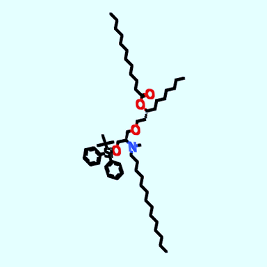 CCCCCCCCCCCCCCN(C)[C@H](COCC[C@@H](CCCCCCC)OC(=O)CCCCCCCCCCC)CO[Si](c1ccccc1)(c1ccccc1)C(C)(C)C